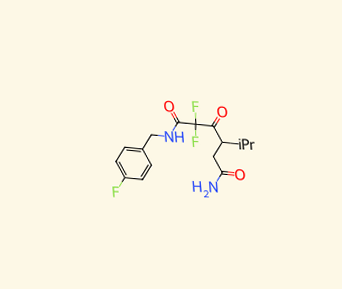 CC(C)C(CC(N)=O)C(=O)C(F)(F)C(=O)NCc1ccc(F)cc1